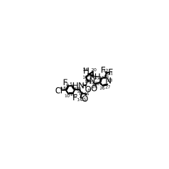 O=C(N[C@@H](c1cc(F)c(Cl)cc1F)C1COC1)[C@H]1C[C@H]2C[C@H]2N1C(=O)c1ccnc(C(F)F)c1